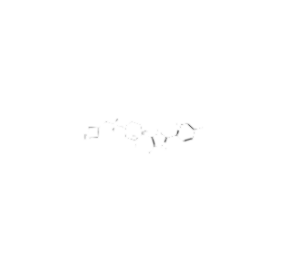 C[C@H]1CN(S(=O)(=O)CC2CNC2)CC[C@H]1c1[nH]c(-c2ccc(F)cn2)nc1Cl